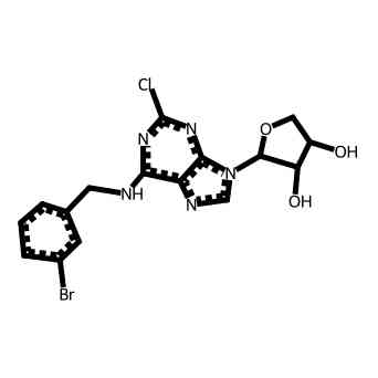 OC1COC(n2cnc3c(NCc4cccc(Br)c4)nc(Cl)nc32)C1O